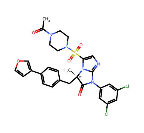 CC(=O)N1CCN(S(=O)(=O)c2cnc3n2[C@](C)(Cc2ccc(-c4ccoc4)cc2)C(=O)N3c2cc(Cl)cc(Cl)c2)CC1